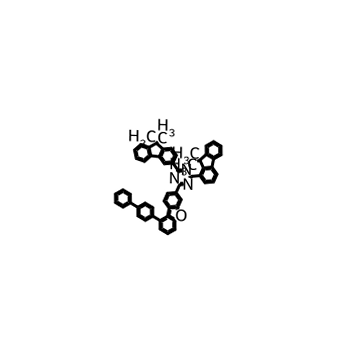 CC1(C)c2ccccc2-c2cc(-c3nc(-c4ccc5c(c4)oc4cccc(-c6ccc(-c7ccccc7)cc6)c45)nc(-c4cccc5c4C(C)(C)c4ccccc4-5)n3)ccc21